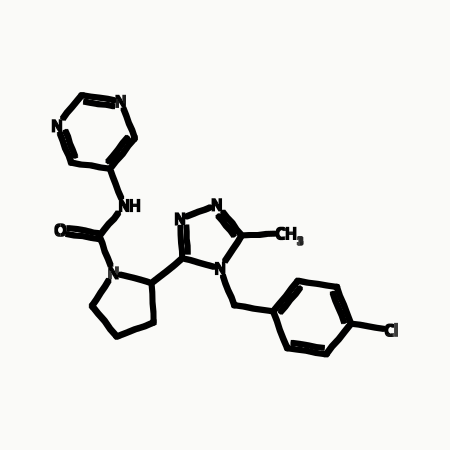 Cc1nnc(C2CCCN2C(=O)Nc2cncnc2)n1Cc1ccc(Cl)cc1